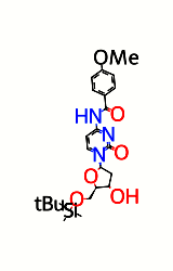 COc1ccc(C(=O)Nc2ccn([C@H]3C[C@H](O)[C@@H](CO[Si](C)(C)C(C)(C)C)O3)c(=O)n2)cc1